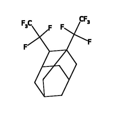 FC(F)(F)C(F)(F)C1C2CC3CC(C2)CC1(C(F)(F)C(F)(F)F)C3